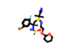 C[S@@+]([O-])N[C@@](C)(C/S(=N\CCOC1CCCCO1)C(C)(C)C#N)c1cc(Br)ccc1F